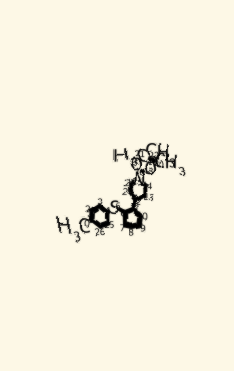 Cc1ccc(Sc2ccccc2[C]2CCN(C(=O)OC(C)(C)C)CC2)cc1